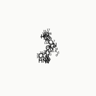 CCCCc1nc2ccc([C@]3(C)C[C@H]4CCC(C)(C)N4O3)cc2c(=O)n1Cc1ccc(-c2ccccc2-c2nnn[nH]2)cc1